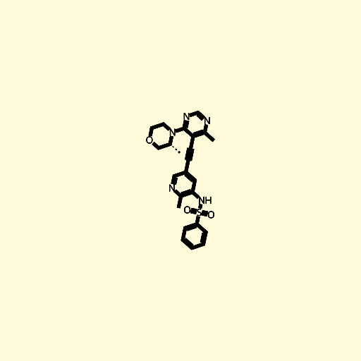 Cc1ncc(C#Cc2c(C)ncnc2N2CCOC[C@H]2C)cc1NS(=O)(=O)c1ccccc1